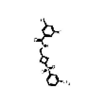 O=C(NCC1CC(S(=O)(=O)c2cccc(C(F)(F)F)c2)C1)c1cc(F)cc(Cl)c1